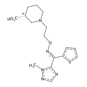 Cn1ncnc1/C(=N/OCCN1CCC[C@@H](C(=O)O)C1)c1cccs1